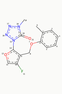 Cc1ccccc1OCc1c(F)coc1-n1nnn(C)c1=O